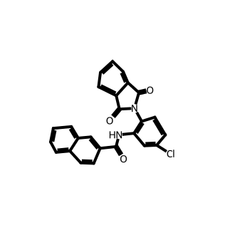 O=C(Nc1cc(Cl)ccc1N1C(=O)c2ccccc2C1=O)c1ccc2ccccc2c1